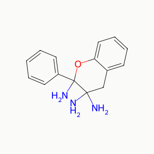 NC1(N)Cc2ccccc2OC1(N)c1ccccc1